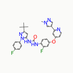 Cn1cc(-c2cc(Oc3ccc(NC(=O)Nc4cc(C(C)(C)C)nn4-c4ccc(F)cc4)c(F)c3)ccn2)cn1